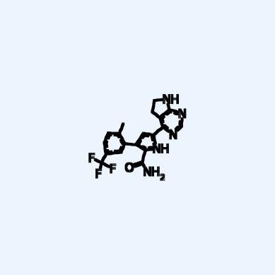 Cc1ccc(C(F)(F)F)cc1-c1cc(-c2ncnc3c2CCN3)[nH]c1C(N)=O